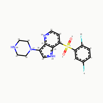 O=S(=O)(c1cc(F)ccc1F)c1ccnc2c(N3CCNCC3)c[nH]c12